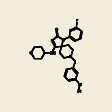 CC(C)Oc1cccc(CN2CCC3(CC2)C(NC2CCOCC2)=NC(=O)N3c2cccc(F)c2)c1